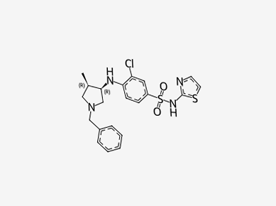 C[C@@H]1CN(Cc2ccccc2)C[C@@H]1Nc1ccc(S(=O)(=O)Nc2nccs2)cc1Cl